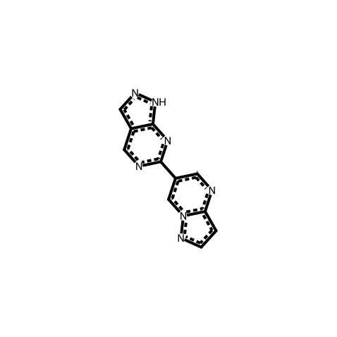 [c]1nc2ccnn2cc1-c1ncc2cn[nH]c2n1